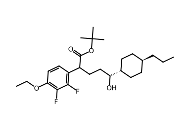 CCC[C@H]1CC[C@H](C(O)CCC(C(=O)OC(C)(C)C)c2ccc(OCC)c(F)c2F)CC1